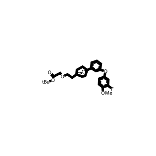 COc1ccc(Oc2cccc(C34CCC(CCOCC(=O)OC(C)(C)C)(CC3)OC4)c2)cc1F